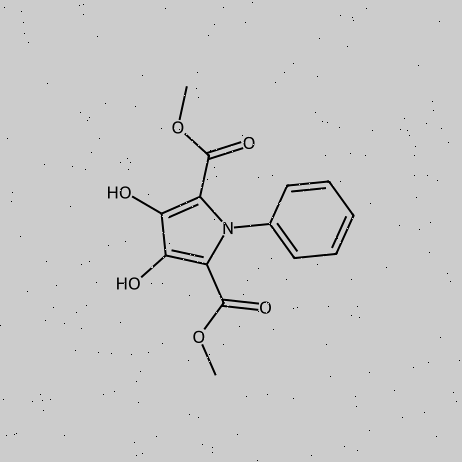 COC(=O)c1c(O)c(O)c(C(=O)OC)n1-c1ccccc1